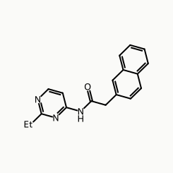 CCc1nccc(NC(=O)Cc2ccc3ccccc3c2)n1